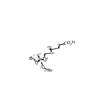 CC(C)(C)OP(=O)(OCOC(=O)CCC(=O)O)OC(C)(C)C